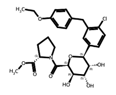 CCOc1ccc(Cc2cc([C@@H]3O[C@H](C(=O)N4CCC[C@H]4C(=O)OC)[C@H](O)[C@@H](O)[C@H]3O)ccc2Cl)cc1